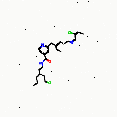 C/C=C(Cl)\C=N/CC/C=C(\CC)Cc1cc(C(=O)NCCC(CCC)CCCl)ccn1